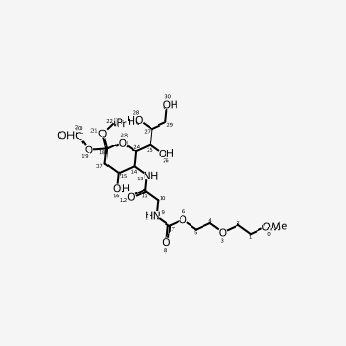 COCCOCCOC(=O)NCC(=O)NC1C(O)CC(OC=O)(OC(C)C)OC1C(O)C(O)CO